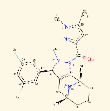 CCn1nc(C(=O)N2C3=C(C[C@H]4CCC[C@@H]3N4)[C@@H](c3cc(F)cc(F)c3)N2C)cc1C(F)(F)F